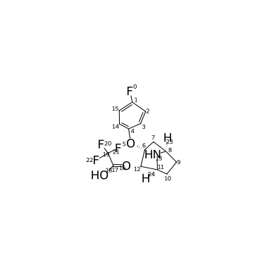 Fc1ccc(O[C@@H]2C[C@H]3CC[C@@H](C2)N3)cc1.O=C(O)C(F)(F)F